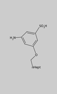 CCCCCCCCOc1cc(N)cc(S(=O)(=O)O)c1